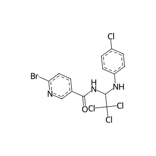 O=C(NC(Nc1ccc(Cl)cc1)C(Cl)(Cl)Cl)c1ccc(Br)nc1